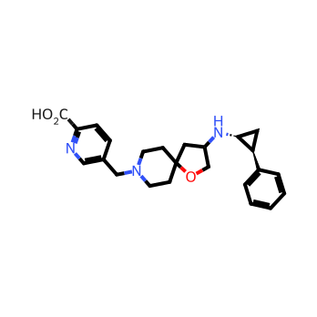 O=C(O)c1ccc(CN2CCC3(CC2)CC(N[C@@H]2C[C@H]2c2ccccc2)CO3)cn1